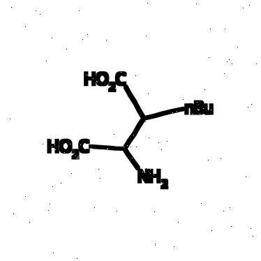 CCCCC(C(=O)O)C(N)C(=O)O